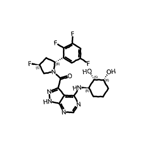 O=C(c1n[nH]c2ncnc(N[C@@H]3CCC[C@@H](O)[C@H]3O)c12)N1C[C@@H](F)C[C@@H]1c1cc(F)cc(F)c1F